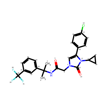 CC(C)(NC(=O)Cn1cc(-c2ccc(Cl)cc2)n(C2CC2)c1=O)c1cccc(C(F)(F)F)c1